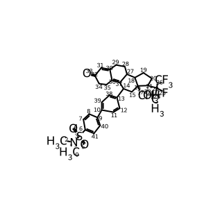 CN(C)S(=O)(=O)c1ccc(-c2ccc(C3CC4(C)C(CC[C@@]4(O)C(C)(F)C(F)(F)F)C4CCC5=CC(=O)CCC5=C34)cc2)cc1